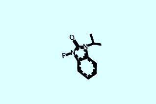 CC(C)n1c(=O)n(F)c2ccccc21